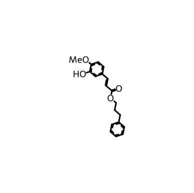 COc1ccc(/C=C/C(=O)OCCCc2ccccc2)cc1O